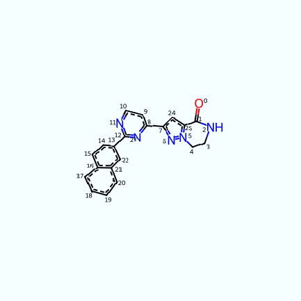 O=C1NCCn2nc(-c3ccnc(-c4ccc5ccccc5c4)n3)cc21